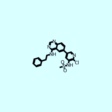 CS(=O)(=O)Nc1cc(-c2ccc3ncnc(NCCc4ccccc4)c3c2)cnc1Cl